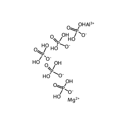 O=P([O-])(O)O.O=P([O-])(O)O.O=P([O-])(O)O.O=P([O-])(O)O.O=P([O-])(O)O.[Al+3].[Mg+2]